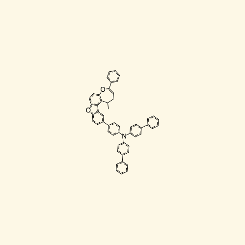 CC1CC=C(c2ccccc2)Oc2ccc3oc4ccc(-c5ccc(N(c6ccc(-c7ccccc7)cc6)c6ccc(-c7ccccc7)cc6)cc5)cc4c3c21